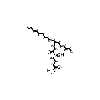 CCCCCCCCCCC(CCCCCC)CCC(=O)N(O)CCCC(N)=O